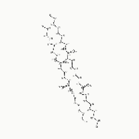 CCCCCCCCOC(=O)CCCCC(=O)OCCCCCCCC.CCCCCCCCOC(=O)CCCCCCCC(=O)OCCCCCCCC